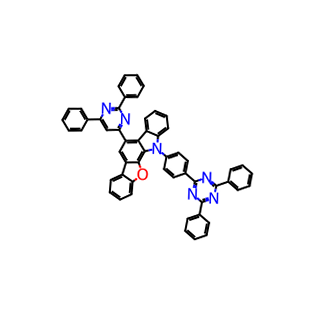 c1ccc(-c2cc(-c3cc4c5ccccc5oc4c4c3c3ccccc3n4-c3ccc(-c4nc(-c5ccccc5)nc(-c5ccccc5)n4)cc3)nc(-c3ccccc3)n2)cc1